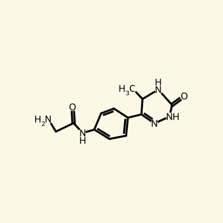 CC1NC(=O)NN=C1c1ccc(NC(=O)CN)cc1